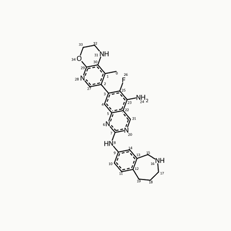 Cc1c(-c2cc3nc(Nc4ccc5c(c4)CNCCC5)ncc3c(N)c2F)cnc2c1NCCO2